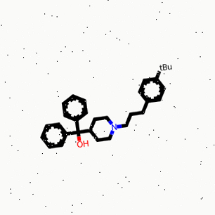 CC(C)(C)c1ccc(CCCN2CCC(C(O)(c3ccccc3)c3ccccc3)CC2)cc1